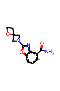 NC(=O)c1[c]ccc2oc(N3CC4(CCO4)C3)nc12